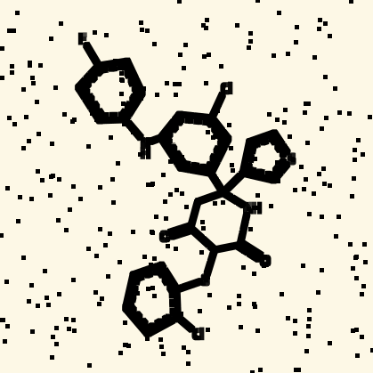 O=C1CC(c2ccsc2)(c2cc(Cl)cc(Nc3ccc(F)cc3)c2)NC(=O)C1Sc1ccccc1Cl